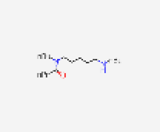 CCCCNCCCCCN(CCCC)C(=O)CCC